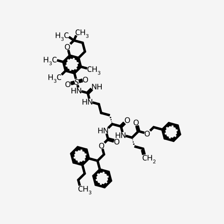 C=CC[C@H](NC(=O)[C@@H](CCCNC(=N)NS(=O)(=O)c1c(C)c(C)c2c(c1C)CCC(C)(C)O2)NC(=O)OCC(c1ccccc1)c1ccccc1CCC)C(=O)OCc1ccccc1